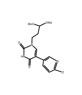 COC(CCn1cc(-c2ccc(Cl)nc2)c(=O)[nH]c1=O)OC